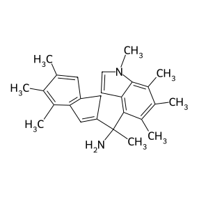 Cc1cc2c(c(C)c1C)C=C(C(C)(N)c1c(C)c(C)c(C)c3c1ccn3C)C2